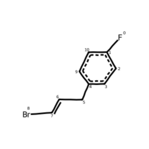 Fc1ccc(CC=CBr)cc1